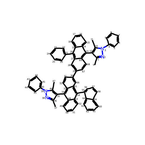 Cc1nn(-c2ccccc2)c(C)c1-c1c2ccccc2c(-c2ccccc2)c2cc(-c3ccc4c(-c5c(C)nn(-c6ccccc6)c5C)c5ccccc5c(-c5cccc6ccccc56)c4c3)ccc12